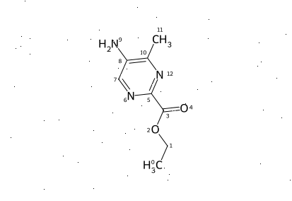 CCOC(=O)c1ncc(N)c(C)n1